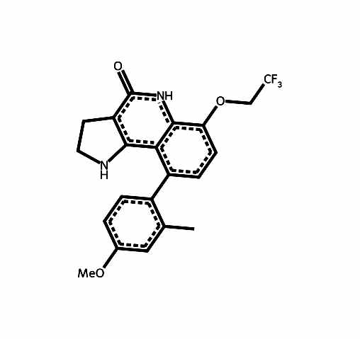 COc1ccc(-c2ccc(OCC(F)(F)F)c3[nH]c(=O)c4c(c23)NCC4)c(C)c1